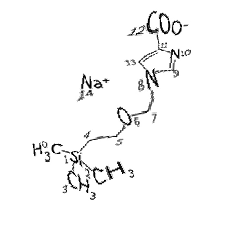 C[Si](C)(C)CCOCn1cnc(C(=O)[O-])c1.[Na+]